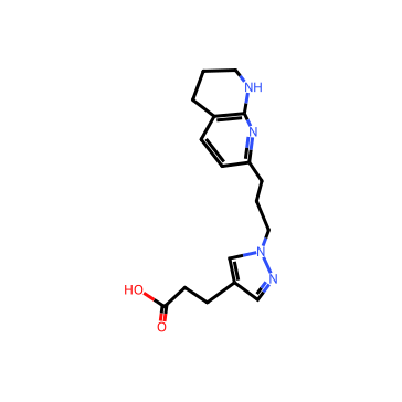 O=C(O)CCc1cnn(CCCc2ccc3c(n2)NCCC3)c1